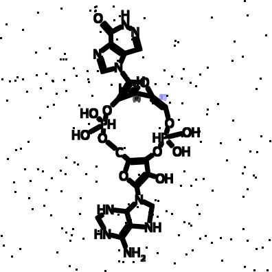 NC1=C2NCN(c3oc4c(c3O)O[PH](O)(O)O/C=C3/OC(n5cnc6c(=O)[nH]ncc65)=C(O[PH](O)(O)OC4)[C@@H]3O)C2NCN1